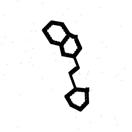 C(=Cc1ccccn1)c1cnc2ccccc2c1